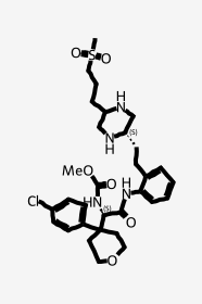 COC(=O)N[C@H](C(=O)Nc1ccccc1CC[C@H]1CNC(CCCS(C)(=O)=O)CN1)C1(c2ccc(Cl)cc2)CCOCC1